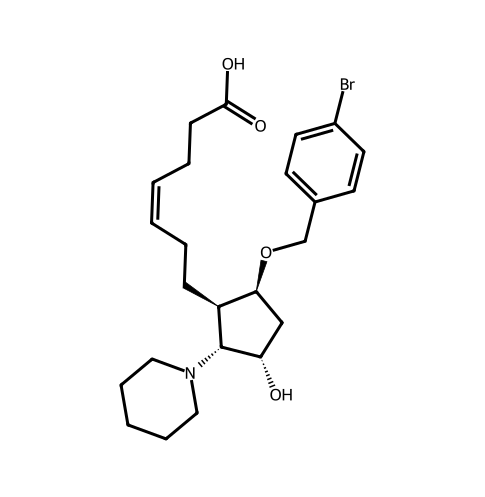 O=C(O)CC/C=C\CC[C@@H]1[C@@H](N2CCCCC2)[C@@H](O)C[C@@H]1OCc1ccc(Br)cc1